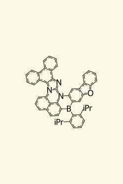 CC(C)c1cccc(C(C)C)c1B1c2cc3oc4ccccc4c3cc2-n2c3c1ccc1cccc(c13)n1c3c4ccccc4c4ccccc4c3nc21